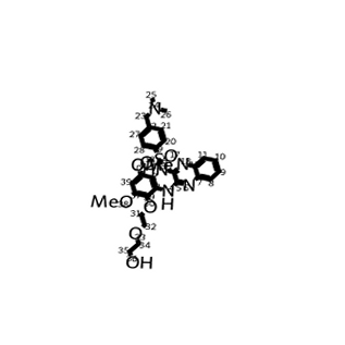 COc1cc(Nc2nc3ccccc3nc2NS(=O)(=O)c2ccc(CN(C)C)cc2)c(OCCOCCO)c(OC)c1